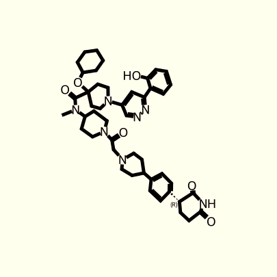 CN(C(=O)C1(OC2CCCCC2)CCN(c2cnnc(-c3ccccc3O)c2)CC1)C1CCN(C(=O)CN2CCC(c3ccc([C@H]4CCC(=O)NC4=O)cc3)CC2)CC1